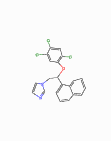 Clc1cc(Cl)c(OC(Cn2ccnc2)c2cccc3ccccc23)cc1Cl